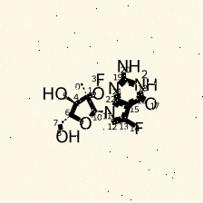 C[C@@]1(OF)[C@H](O)[C@@H](CO)O[C@H]1n1cc(F)c2c(=O)[nH]c(N)nc21